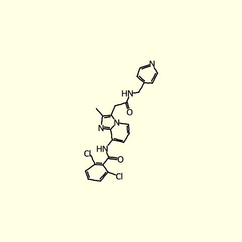 Cc1nc2c(NC(=O)c3c(Cl)cccc3Cl)cccn2c1CC(=O)NCc1ccncc1